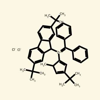 CC1C=C(C(C)(C)C)C=[C]1[Zr+2](=[C](c1ccccc1)c1ccccc1)[CH]1c2cc(C(C)(C)C)ccc2-c2ccc(C(C)(C)C)cc21.[Cl-].[Cl-]